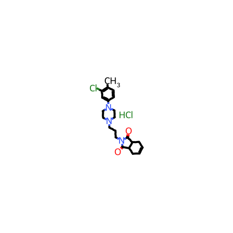 Cc1ccc(N2CCN(CCCN3C(=O)C4CC=CCC4C3=O)CC2)cc1Cl.Cl